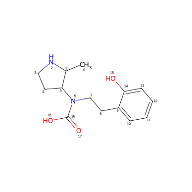 CC1NCCC1N(CCc1ccccc1O)C(=O)O